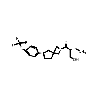 CC[C@H](CO)C(=O)N1CC2(CC[C@@H](c3ccc(OC(F)(F)F)cc3)C2)C1